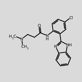 CN(C)CCC(=O)Nc1ccc(Cl)cc1-c1nc2ccccc2[nH]1